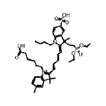 CCCCN1\C(=C/C=C/C=C/C2=[N+](CCCCCC(=O)O)c3ccc(C)cc3C2(C)C)C(C)(CCP(=O)(OCC)OCC)c2cc(S(=O)(=O)O)ccc21